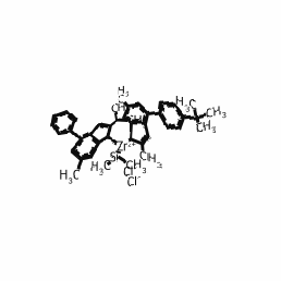 CC1=Cc2c(-c3ccc(C(C)(C)C)cc3)cc(C)cc2[CH]1[Zr+2]([CH]1C(C(C)C)=Cc2c(-c3ccccc3)cc(C)cc21)=[Si](C)C.[Cl-].[Cl-]